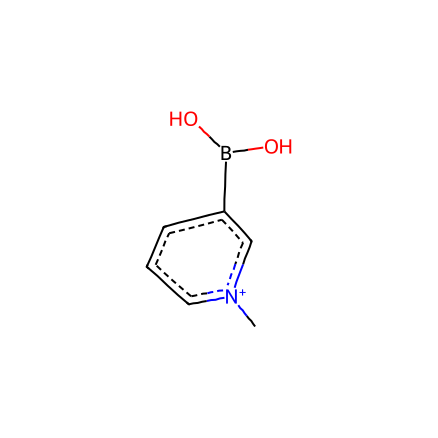 C[n+]1cccc(B(O)O)c1